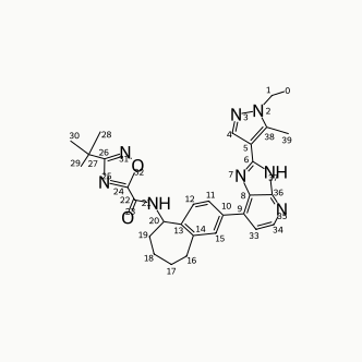 CCn1ncc(-c2nc3c(-c4ccc5c(c4)CCCCC5NC(=O)c4nc(C(C)(C)C)no4)ccnc3[nH]2)c1C